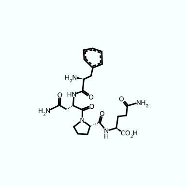 NC(=O)CC[C@H](NC(=O)[C@@H]1CCCN1C(=O)[C@H](CC(N)=O)NC(=O)[C@@H](N)Cc1ccccc1)C(=O)O